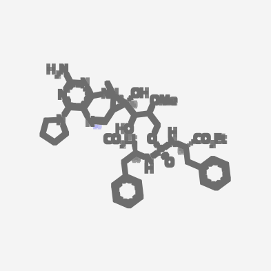 CCOC(=O)[C@H](Cc1ccccc1)NP(=O)(N[C@@H](Cc1ccccc1)C(=O)OCC)OCC(OC)C(O)[C@]1(O)C(C)C1/C=N\c1c(N)nc(N)nc1N1CCCC1